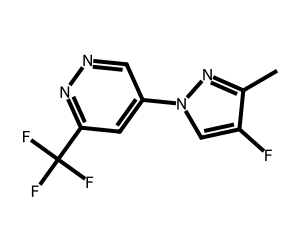 Cc1nn(-c2cnnc(C(F)(F)F)c2)cc1F